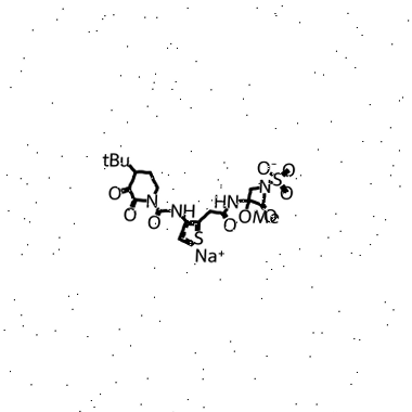 COC1(NC(=O)Cc2sccc2NC(=O)N2CCC(C(C)(C)C)C(=O)C2=O)CN(S(=O)(=O)[O-])C1=O.[Na+]